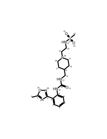 Cc1nc(-c2ccccc2NC(=O)NCC2CCN(CCNS(C)(=O)=O)CC2)no1